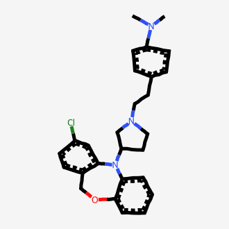 CN(C)c1ccc(CCN2CCC(N3c4cc(Cl)ccc4COc4ccccc43)C2)cc1